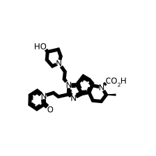 C[C@H]1CCc2c(ccc3c2nc(CCn2ccccc2=O)n3CCN2CCC(O)CC2)N1C(=O)O